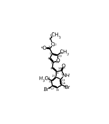 CCOC(=O)c1cc(C=C2C(=O)Nc3c(Br)cc(Br)c(C)c32)oc1C